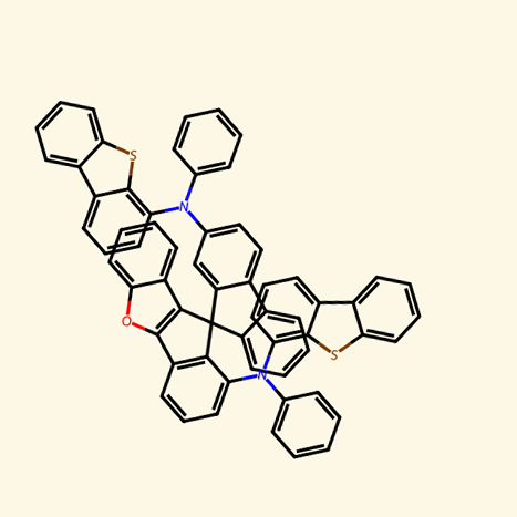 c1ccc(N(c2ccc3c(c2)C2(c4ccccc4-3)c3c(cccc3N(c3ccccc3)c3cccc4c3sc3ccccc34)-c3oc4ccccc4c32)c2cccc3c2sc2ccccc23)cc1